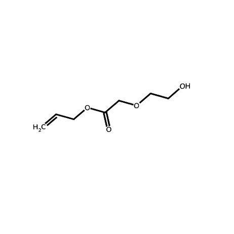 C=CCOC(=O)COCCO